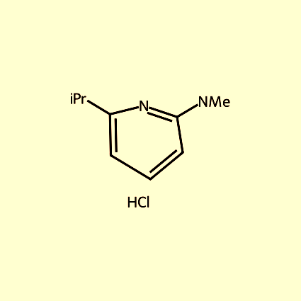 CNc1cccc(C(C)C)n1.Cl